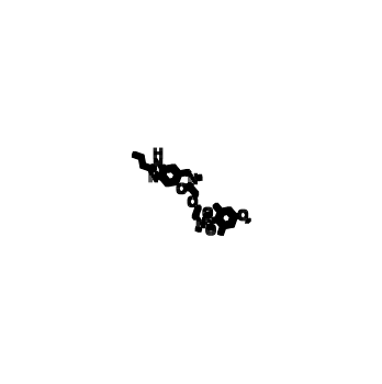 CCCc1nc2ccc(CN(C)C(=O)COCCN(C)S(=O)(=O)c3c(C)cc(OC)cc3C)cc2[nH]1